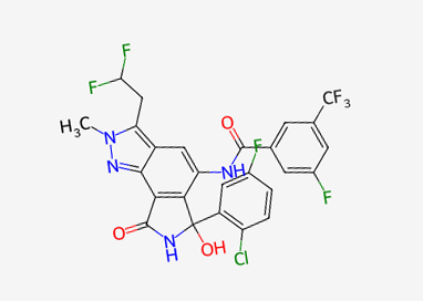 Cn1nc2c3c(c(NC(=O)c4cc(F)cc(C(F)(F)F)c4)cc2c1CC(F)F)C(O)(c1cc(F)ccc1Cl)NC3=O